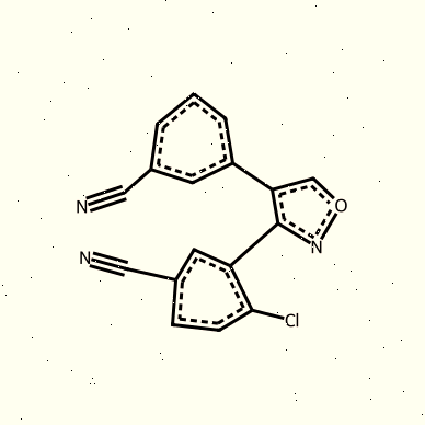 N#Cc1cccc(-c2conc2-c2cc(C#N)ccc2Cl)c1